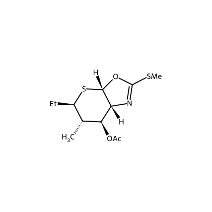 CC[C@H]1S[C@@H]2OC(SC)=N[C@@H]2[C@@H](OC(C)=O)[C@@H]1C